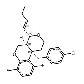 CC/C=C/[C@@H]1OCC[C@@]2(Cc3ccc(Cl)cc3)c3c(F)ccc(F)c3OC[C@@H]12